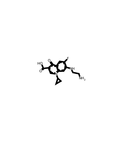 NCCNc1cc2c(cc1F)c(=O)c(C(=O)O)cn2C1CC1